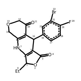 CCC1OC(=O)C2=C1NC1=C(C(=O)COC1)C2c1ccc(F)c(Br)c1